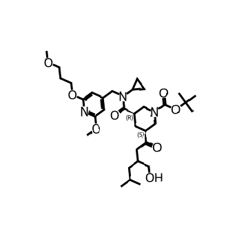 COCCCOc1cc(CN(C(=O)[C@@H]2C[C@H](C(=O)CC(CO)CC(C)C)CN(C(=O)OC(C)(C)C)C2)C2CC2)cc(OC)n1